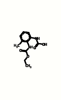 CCOC(=O)Nc1c(C)cccc1NC(=O)O